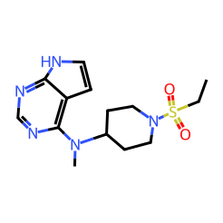 CCS(=O)(=O)N1CCC(N(C)c2ncnc3[nH]ccc23)CC1